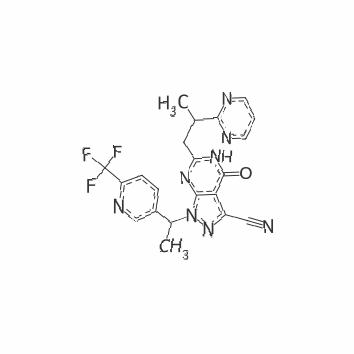 CC(Cc1nc2c(c(C#N)nn2C(C)c2ccc(C(F)(F)F)nc2)c(=O)[nH]1)c1ncccn1